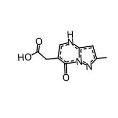 Cc1cc2[nH]cc(CC(=O)O)c(=O)n2n1